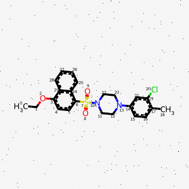 CCOc1ccc(S(=O)(=O)N2CCN(c3ccc(C)c(Cl)c3)CC2)c2ccccc12